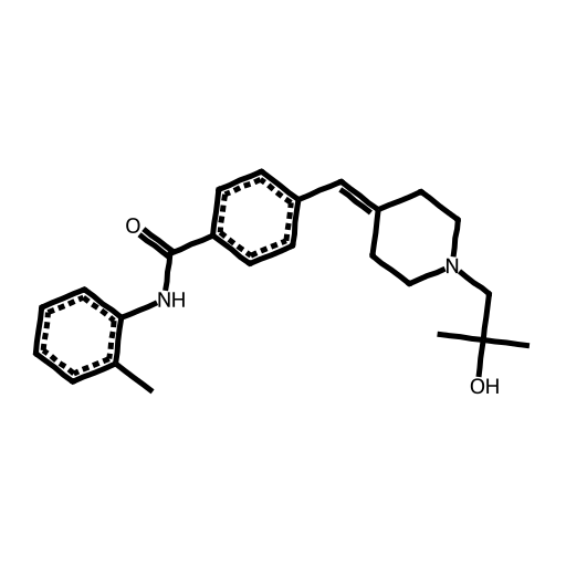 Cc1ccccc1NC(=O)c1ccc(C=C2CCN(CC(C)(C)O)CC2)cc1